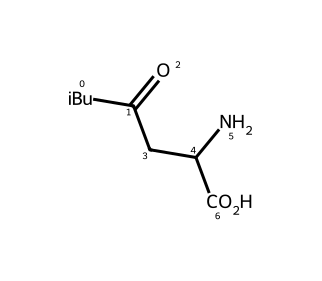 CCC(C)C(=O)CC(N)C(=O)O